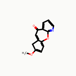 COC1=CC=C2Oc3ncccc3C(=O)C=C2C1